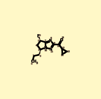 CCC[C@@H]1C[C@H](F)c2nc(C(=O)C3CC3)nn21